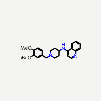 COc1ccc(CN2CCC(Nc3ccnc4ccccc34)CC2)cc1OCC(C)C